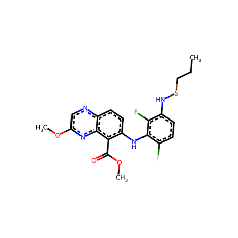 CCCSNc1ccc(F)c(Nc2ccc3ncc(OC)nc3c2C(=O)OC)c1F